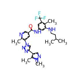 Cc1ncc(C(=O)Nc2cc(NCCC(C)C)c(C)c(C(F)(F)F)c2)cc1-n1cc(-c2cnn(C)c2C)nn1